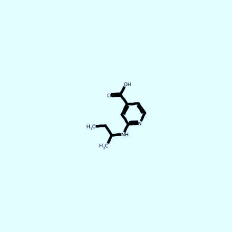 CCC(C)Nc1cc(C(=O)O)ccn1